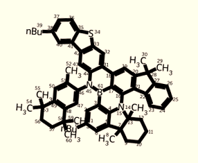 CCCCc1cc2c3c(c1)C1(C)CCCCC1(C)N3c1c3c(cc4c1-c1ccccc1C4(C)C)-c1cc4sc5ccc(CCCC)cc5c4cc1N(c1cc4c(cc1C)C(C)(C)CCC4(C)C)B23